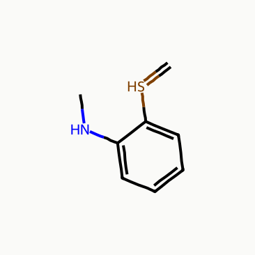 C=[SH]c1ccccc1NC